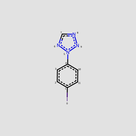 Ic1ccc(-n2ncnn2)cc1